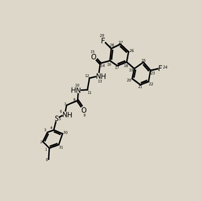 Cc1ccc(SNCC(=O)NCCNC(=O)c2cc(-c3cccc(F)c3)ccc2F)cc1